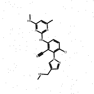 CNCc1cnn(-c2c(Cl)ccc(Nc3nc(C)cc(NC)n3)c2C#N)c1